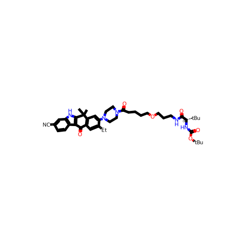 CCc1cc2c(cc1N1CCN(C(=O)CCCCOCCCNC(=O)[C@@H](NC(=O)OC(C)(C)C)C(C)(C)C)CC1)C(C)(C)c1[nH]c3cc(C#N)ccc3c1C2=O